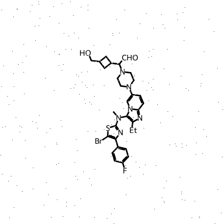 CCc1nc2ccc(N3CCN(C(C=O)C4CC(CO)C4)CC3)cn2c1N(C)c1nc(-c2ccc(F)cc2)c(Br)s1